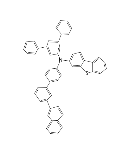 c1ccc(-c2cc(-c3ccccc3)cc(N(c3ccc(-c4cccc(-c5ccc6ccccc6c5)c4)cc3)c3ccc4c(c3)sc3ccccc34)c2)cc1